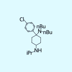 CCCCN(CCCC)C1(c2ccc(Cl)cc2)CCC(NC(C)C)CC1